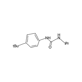 CC(C)NC(=O)Nc1ccc(C(C)(C)C)cc1